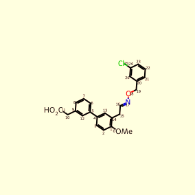 COc1ccc(-c2cccc(CC(=O)O)c2)cc1CC=NOCc1cccc(Cl)c1